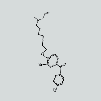 C=CCN(C)CCCCCCOc1ccc(C(=O)c2ccc(Br)cc2)cc1Br